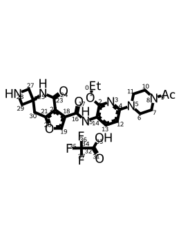 CCOc1nc(N2CCN(C(C)=O)CC2)ccc1NC(=O)c1coc2c1C(=O)NC1(CNC1)C2.O=C(O)C(F)(F)F